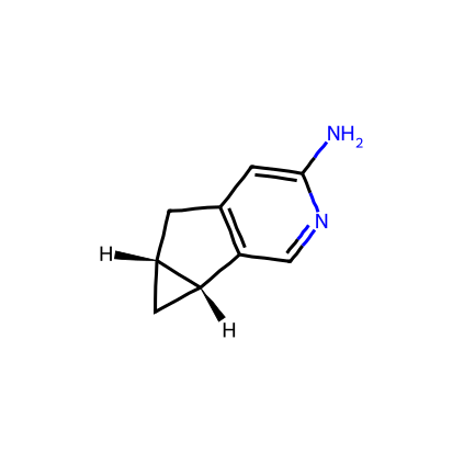 Nc1cc2c(cn1)[C@@H]1C[C@@H]1C2